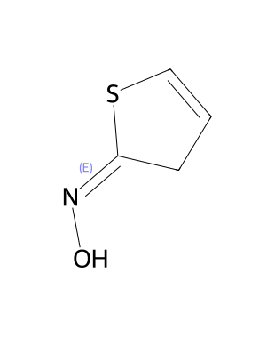 O/N=C1\CC=CS1